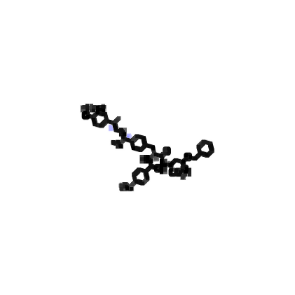 C=N/C(=N\C=C(/C)c1ccc(OCCCCCCC)cc1)c1ccc(C[C@H](NC(=O)c2ccc(C(C)(C)C)cc2)C(=O)N[C@@H](CC(=O)OCc2ccccc2)C(=O)O)cc1